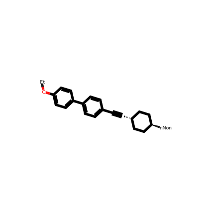 CCCCCCCCC[C@H]1CC[C@H](C#Cc2ccc(-c3ccc(OCC)cc3)cc2)CC1